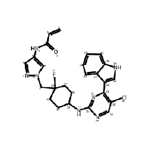 C=CC(=O)Nc1cnn(CC2(F)CCC(Nc3ncc(Cl)c(-c4c[nH]c5ccccc45)n3)CC2)c1